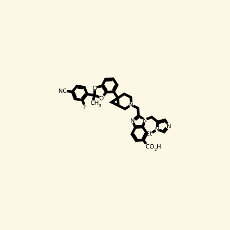 CCn1cncc1Cn1c(CN2CCC3(c4cccc5c4OC(C)(c4ccc(C#N)cc4F)O5)CC3C2)nc2ccc(C(=O)O)cc21